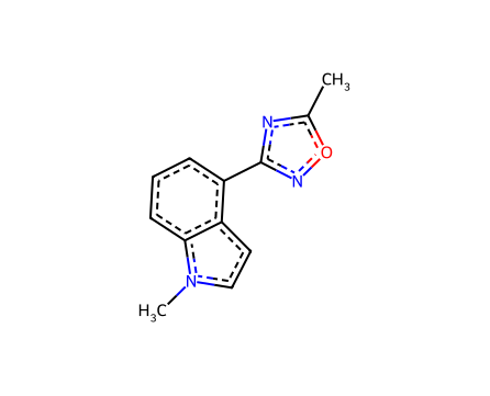 Cc1nc(-c2cccc3c2ccn3C)no1